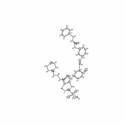 CS(=O)(=O)N1CCc2c(c(-c3ccc(Cl)c(C#Cc4cccc(CNCCc5ccccc5)c4)c3)nn2CCCN2CCOCC2)C1